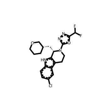 FC(F)c1nnc(N2CCc3c([nH]c4ccc(Cl)cc34)[C@@H]2C[C@@H]2CCCOC2)o1